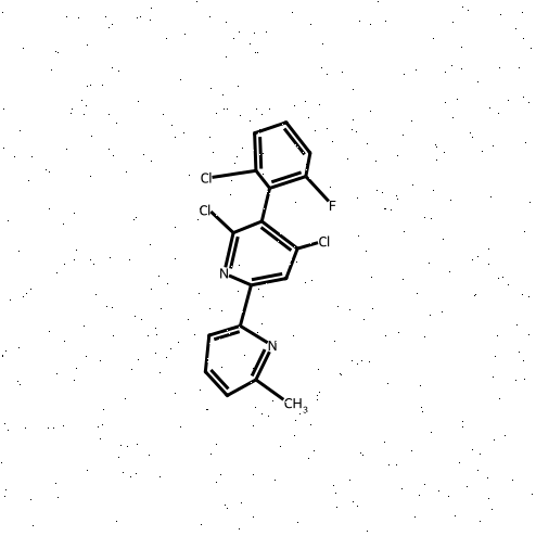 Cc1cccc(-c2cc(Cl)c(-c3c(F)cccc3Cl)c(Cl)n2)n1